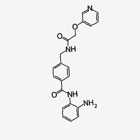 Nc1ccccc1NC(=O)c1ccc(CNC(=O)COc2cccnc2)cc1